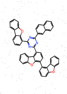 c1ccc2cc(-c3nc(-c4cccc5c4oc4ccccc45)nc(-c4ccc(-c5cccc6oc7ccccc7c56)c5oc6ccccc6c45)n3)ccc2c1